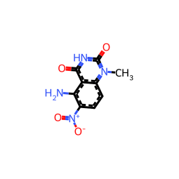 Cn1c(=O)[nH]c(=O)c2c(N)c([N+](=O)[O-])ccc21